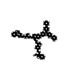 C=CC1=C(/C=C/c2ccc(/C(C=C)=C/C=C/N(/C(C=C)=C/C=C/C(C=C)=C/C=C/C3/C=C/C4=C(CCC=C4)O/C=C/C3)c3ccc(-c4ccc(N(c5ccc(-c6ccccc6)cc5)C5C=CC(C6C=CC=CC6)=CC5)cc4)cc3)cc2)C2CC=CC=C2O1